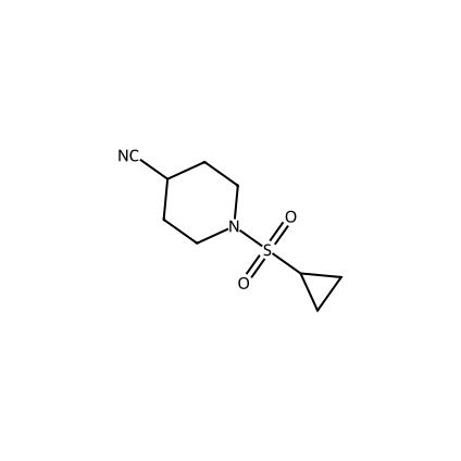 N#CC1CCN(S(=O)(=O)C2CC2)CC1